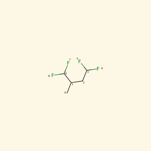 CC(CC(F)F)C(F)F